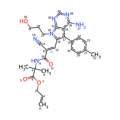 C=CCOC(=O)C(C)(C)NC(=O)/C(C#N)=C/c1c(-c2ccc(C)cc2)c2c(N)ncnc2n1CCCO